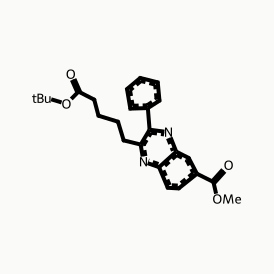 COC(=O)c1ccc2nc(CCCCC(=O)OC(C)(C)C)c(-c3ccccc3)nc2c1